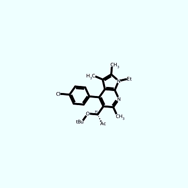 CCn1c(C)c(C)c2c(-c3ccc(Cl)cc3)c([C@@H](OC(C)(C)C)C(C)=O)c(C)nc21